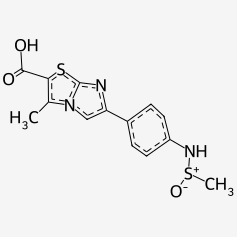 Cc1c(C(=O)O)sc2nc(-c3ccc(N[S+](C)[O-])cc3)cn12